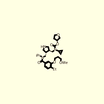 CCc1ccc(C(=O)N(C[C@@H]2CNC[C@H]2CN(C(=O)O[C@H]2CCOC2)C2CC2)C(C)C)cc1OCCCOC